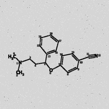 CN(C)CCC(Oc1ccc(C#N)cc1)c1ccccc1